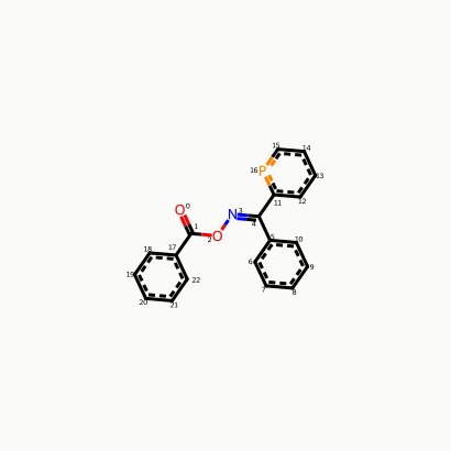 O=C(O/N=C(\c1ccccc1)c1ccccp1)c1ccccc1